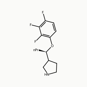 CCC[C@@H](Oc1ccc(F)c(F)c1F)C1CCNC1